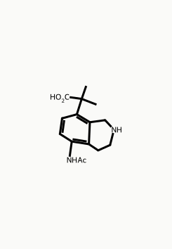 CC(=O)Nc1ccc(C(C)(C)C(=O)O)c2c1CCNC2